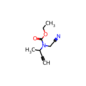 C#CC(C)N(CC#N)C(=O)OCC